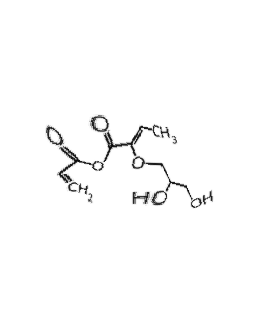 C=CC(=O)OC(=O)C(=CC)OCC(O)CO